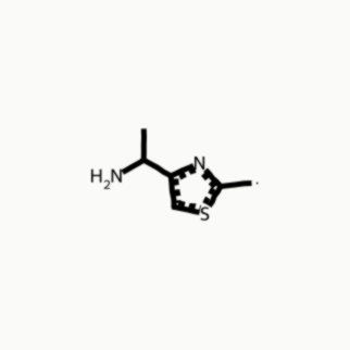 [CH2]c1nc(C(C)N)cs1